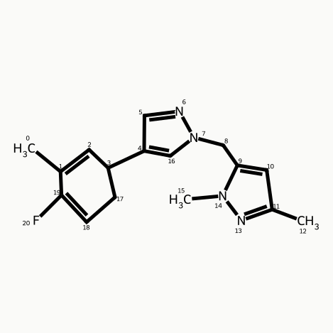 CC1=CC(c2cnn(Cc3cc(C)nn3C)c2)CC=C1F